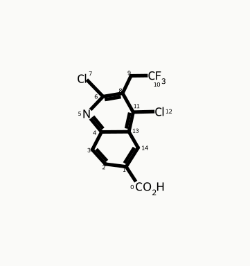 O=C(O)c1ccc2nc(Cl)c(CC(F)(F)F)c(Cl)c2c1